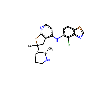 C[C@@H]1NCCC[C@H]1C1(C)Cc2c(Nc3ccc4scnc4c3F)ccnc2S1